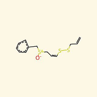 C=CCSS/C=C\C[S+]([O-])Cc1ccccc1